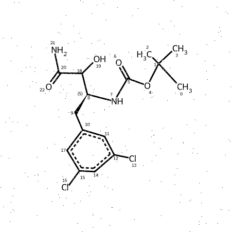 CC(C)(C)OC(=O)N[C@@H](Cc1cc(Cl)cc(Cl)c1)C(O)C(N)=O